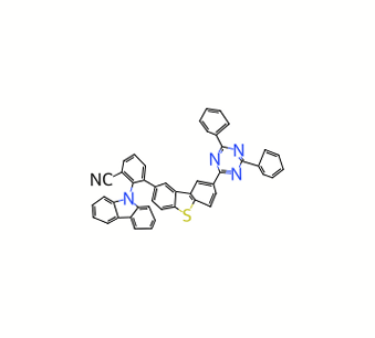 N#Cc1cccc(-c2ccc3sc4ccc(-c5nc(-c6ccccc6)nc(-c6ccccc6)n5)cc4c3c2)c1-n1c2ccccc2c2ccccc21